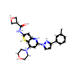 Cc1cccc(-c2ccn(-c3cc(N4CCOCC4)c4sc(NC(=O)C5COC5)cc4n3)n2)c1